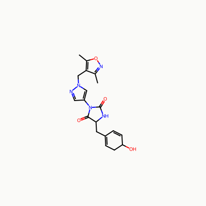 Cc1noc(C)c1Cn1cc(N2C(=O)NC(CC3=CCC(O)C=C3)C2=O)cn1